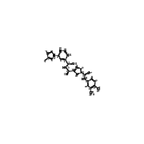 Cc1cn(-c2cc(C(=O)N[C@H](C)c3ncc(C(=O)Nc4cc(C(F)(F)F)c(Cl)cn4)s3)ncn2)cn1